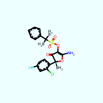 BC(B)(c1ccccc1)S(=O)(=O)OC1=C(N)O[C@](B)(c2ccc(F)cc2Cl)C1=O